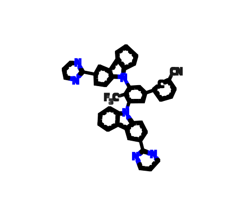 N#Cc1cccc(-c2cc(-n3c4ccccc4c4cc(-c5ncccn5)ccc43)c(C(F)(F)F)c(-n3c4ccccc4c4cc(-c5ncccn5)ccc43)c2)c1